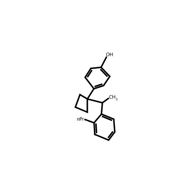 CCCc1ccccc1C(C)C1(c2ccc(O)cc2)CCC1